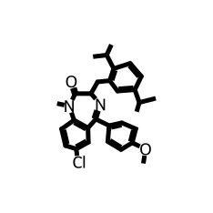 COc1ccc(C2=NC(Cc3cc(C(C)C)ccc3C(C)C)C(=O)N(C)c3ccc(Cl)cc32)cc1